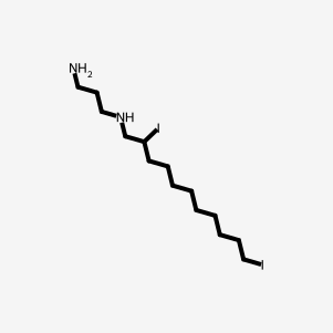 NCCCNCC(I)CCCCCCCCCI